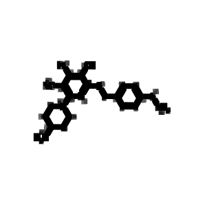 CCc1c(C#N)c(SCc2ccc(SN)cc2)nc(N2CCC(N)CC2)c1C#N